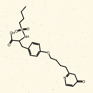 CCCCS(=O)(=O)NC(Cc1ccc(OCCCCC2=NC=CC(=O)C2)cc1)C(=O)O